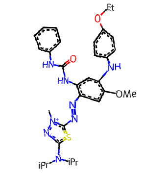 CCOc1ccc(Nc2cc(NC(=O)Nc3ccccc3)c(N=Nc3sc(N(C(C)C)C(C)C)n[n+]3C)cc2OC)cc1